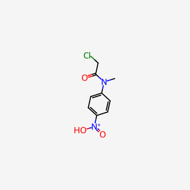 CN(C(=O)CCl)c1ccc([N+](=O)O)cc1